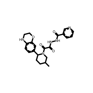 CC1CCC(c2ccc3c(c2)OCCN3)N(C(=O)C(=O)NNC(=O)c2cccnc2)C1